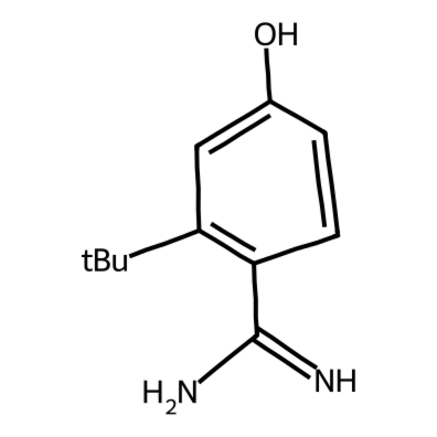 CC(C)(C)c1cc(O)ccc1C(=N)N